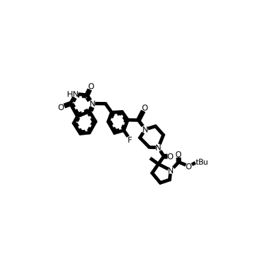 CC(C)(C)OC(=O)N1CCCC1(C)C(=O)N1CCN(C(=O)c2cc(Cn3c(=O)[nH]c(=O)c4ccccc43)ccc2F)CC1